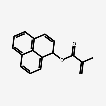 C=C(C)C(=O)OC1C=Cc2cccc3cccc1c23